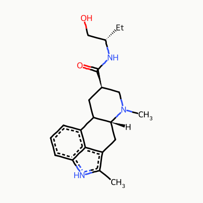 CC[C@@H](CO)NC(=O)[C@@H]1CC2c3cccc4[nH]c(C)c(c34)C[C@H]2N(C)C1